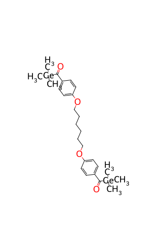 [CH3][Ge]([CH3])([CH3])[C](=O)c1ccc(OCCCCCCOc2ccc([C](=O)[Ge]([CH3])([CH3])[CH3])cc2)cc1